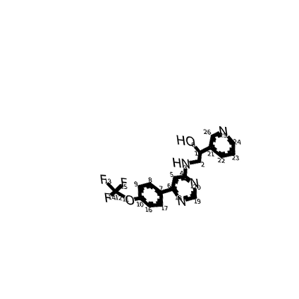 OC(CNc1cc(-c2ccc(OC(F)(F)F)cc2)ncn1)c1cccnc1